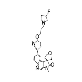 CN1C(=O)C2(CCOCC2)c2c1cnc1ccc(-c3ccc(OCCCN4CCC(F)C4)nc3)cc21